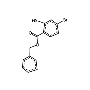 O=C(OCc1ccccc1)c1ccc(Br)cc1S